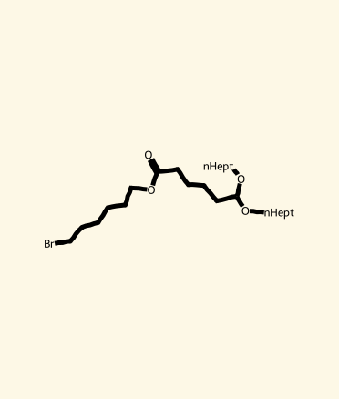 CCCCCCCOC(CCCCC(=O)OCCCCCCBr)OCCCCCCC